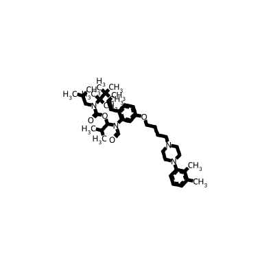 C/C=C\c1ccc(OCCCCN2CCN(c3cccc(C)c3C)CC2)cc1N(C=O)C(OC(=O)N(CC(C)C)C(C)(C)C(C)(C)C)C(C)C